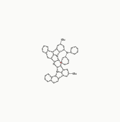 CC(C)(C)c1cc(N(c2ccccc2)c2ccccc2)c2c(c1)c1c3ccccc3cc3c4nc5c(cc4n2c31)c1cc(C(C)(C)C)cc2c3ccc4ccccc4c3n5c12